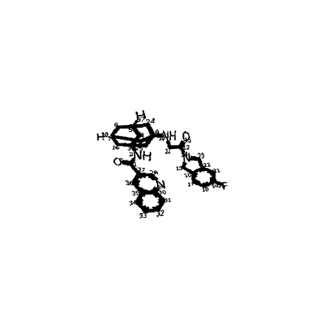 O=C(NC12C[C@@H]3C[C@@H](CC(NCC(=O)N4Cc5ccc(F)cc5C4)(C3)C1)C2)c1cnc2ccccc2c1